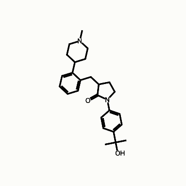 CN1CCC(c2ccccc2CC2CCN(c3ccc(C(C)(C)O)cc3)C2=O)CC1